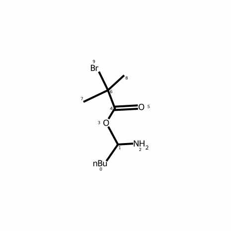 CCCCC(N)OC(=O)C(C)(C)Br